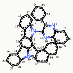 c1ccc(-c2nc3ccccc3nc2-n2c3ccccc3c3cc4c5ccccc5n5c6ccc7ccccc7c6c(c32)c45)cc1